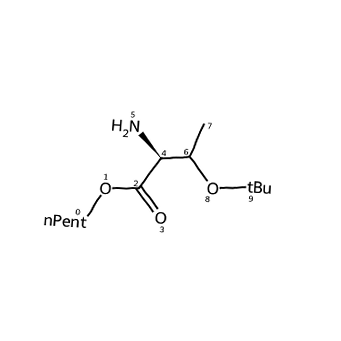 CCCCCOC(=O)[C@@H](N)C(C)OC(C)(C)C